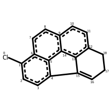 Clc1ccc2c3c1ccc1ccc4c(c13)C2=CCC4